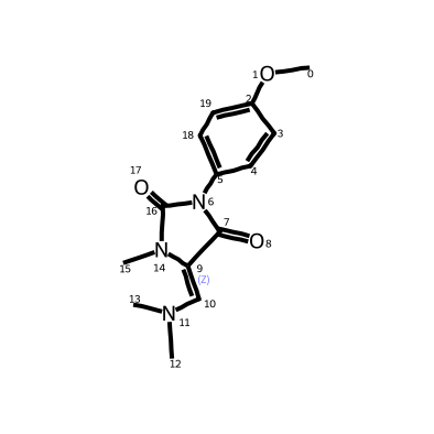 COc1ccc(N2C(=O)/C(=C/N(C)C)N(C)C2=O)cc1